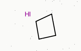 C1CCC1.I